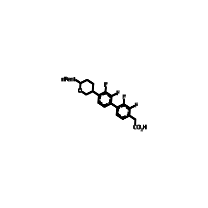 CCCCCC1CCC(c2ccc(-c3ccc(CC(=O)O)c(F)c3F)c(F)c2F)CO1